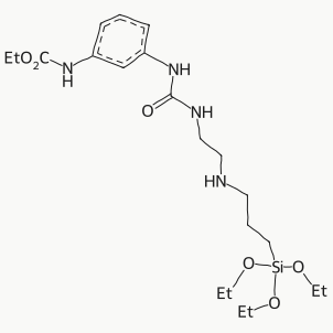 CCOC(=O)Nc1cccc(NC(=O)NCCNCCC[Si](OCC)(OCC)OCC)c1